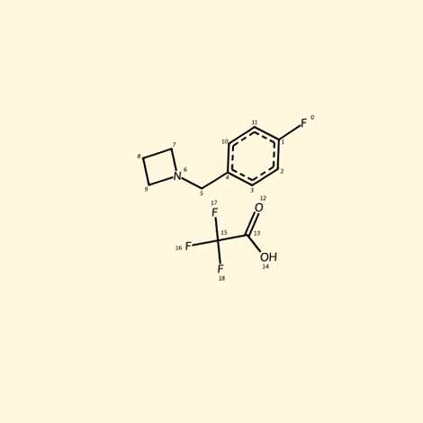 Fc1ccc(CN2CCC2)cc1.O=C(O)C(F)(F)F